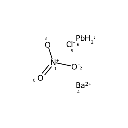 O=[N+]([O-])[O-].[Ba+2].[Cl-].[PbH2]